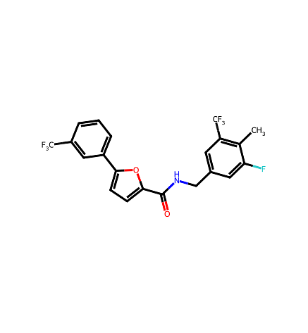 Cc1c(F)cc(CNC(=O)c2ccc(-c3cccc(C(F)(F)F)c3)o2)cc1C(F)(F)F